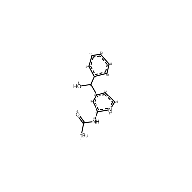 CC(C)(C)C(=O)Nc1cc(C(O)c2ccccc2)ccn1